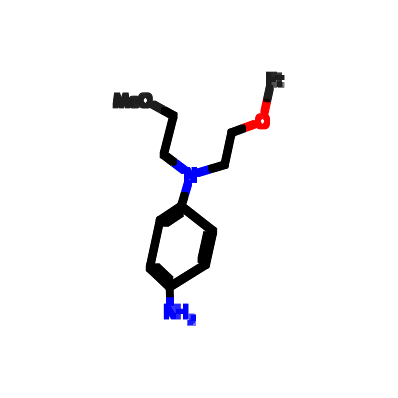 CCOCCN(CCOC)c1ccc(N)cc1